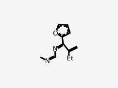 C=C(CC)/C(=N\C=N/C)c1ccco1